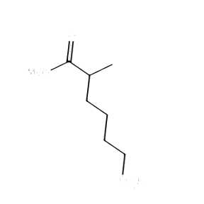 COC(=O)C(C)CCCCC(=O)O